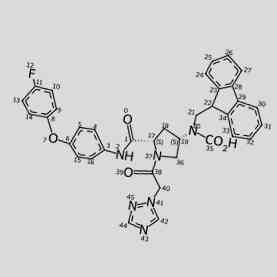 O=C(Nc1ccc(Oc2ccc(F)cc2)cc1)[C@@H]1C[C@H](N(CC2c3ccccc3-c3ccccc32)C(=O)O)CN1C(=O)Cn1cncn1